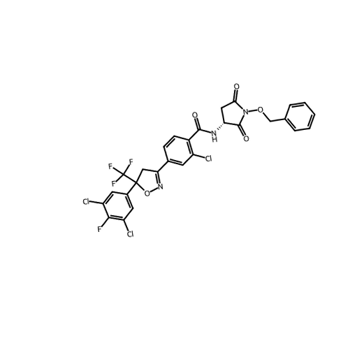 O=C(N[C@@H]1CC(=O)N(OCc2ccccc2)C1=O)c1ccc(C2=NOC(c3cc(Cl)c(F)c(Cl)c3)(C(F)(F)F)C2)cc1Cl